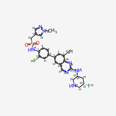 CC(C)c1cc(-c2ccc(NS(=O)(=O)Cc3cnn(C)c3)c(F)c2)cc2cnc(N[C@@H]3CNC[C@@H](F)C3)nc12